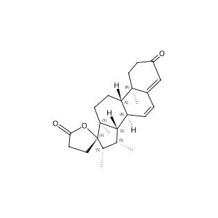 C[C@H]1[C@H]2[C@@H]3C=CC4=CC(=O)CC[C@]4(C)[C@H]3CC[C@]2(C)[C@]2(CCC(=O)O2)[C@H]1C